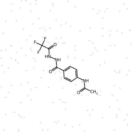 CC(=O)Nc1ccc(C(=O)NNC(=O)C(F)(F)F)cc1